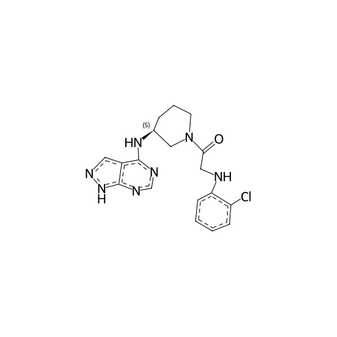 O=C(CNc1ccccc1Cl)N1CCC[C@H](Nc2ncnc3[nH]ncc23)C1